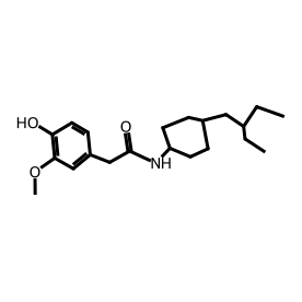 CCC(CC)CC1CCC(NC(=O)Cc2ccc(O)c(OC)c2)CC1